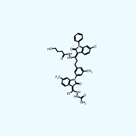 CC/C(NNC(N)=O)=C1/C(=O)N(c2cc(C)cc(CC/C(NNC(=O)CCCO)=C3/C(=O)N(c4ccccc4)c4cc(Cl)ccc43)c2)c2cc(C(F)(F)F)ccc21